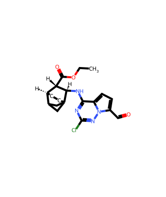 CCOC(=O)[C@@H]1[C@@H](Nc2nc(Cl)nn3c(C=O)ccc23)C23CC[C@H]1C(C2)C3